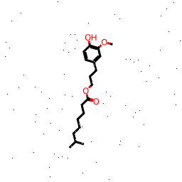 COc1cc(CCCOC(=O)CCCCCC(C)C)ccc1O